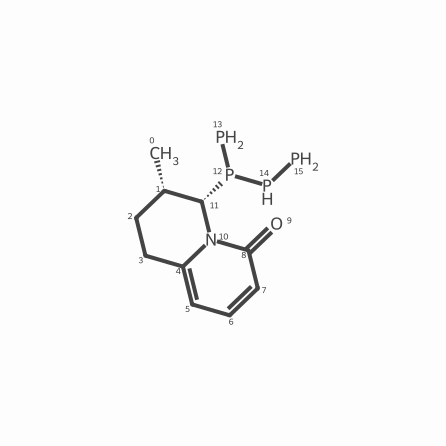 C[C@H]1CCc2cccc(=O)n2[C@H]1P(P)PP